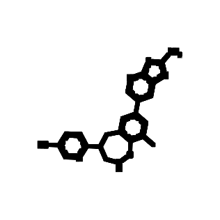 Cc1cc(-c2cnc3sc(N)nc3c2)cc2c1ONCC(c1ccc(C#N)cn1)C2